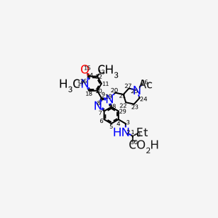 CC[C@H](NCc1ccc2nc(-c3cc(C)c(=O)n(C)c3)n(CC3CCCN(C(C)=O)C3)c2c1)C(=O)O